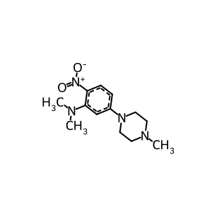 CN1CCN(c2ccc([N+](=O)[O-])c(N(C)C)c2)CC1